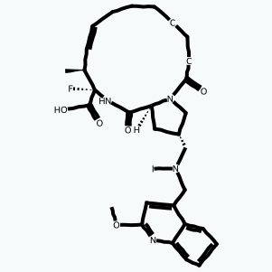 COc1cc(CN(I)C[C@@H]2C[C@H]3C(=O)N[C@@](F)(C(=O)O)[C@@H](C)/C=C\CCCCCCC(=O)N3C2)c2ccccc2n1